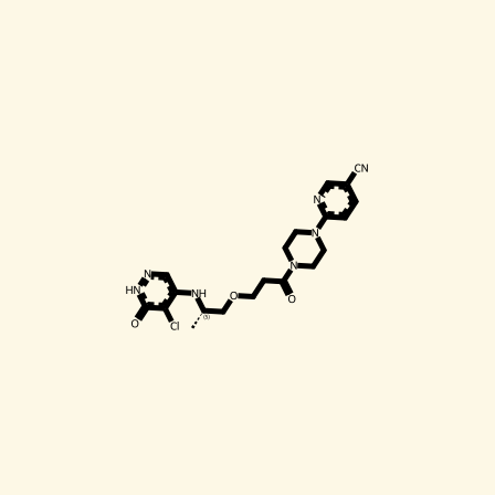 C[C@@H](COCCC(=O)N1CCN(c2ccc(C#N)cn2)CC1)Nc1cn[nH]c(=O)c1Cl